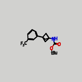 CC(C)(C)OC(=O)NC12CC(c3cccc(C(F)(F)F)c3)(C1)C2